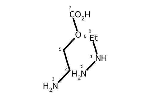 CCNN.NCCOC(=O)O